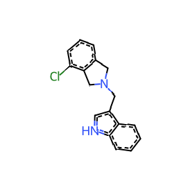 Clc1cccc2c1CN(Cc1c[nH]c3ccccc13)C2